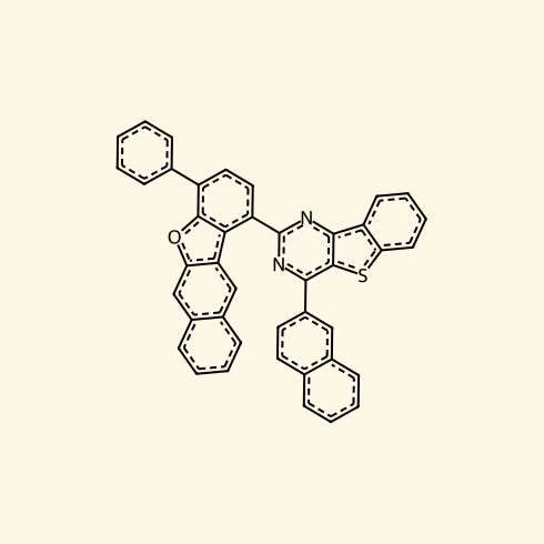 c1ccc(-c2ccc(-c3nc(-c4ccc5ccccc5c4)c4sc5ccccc5c4n3)c3c2oc2cc4ccccc4cc23)cc1